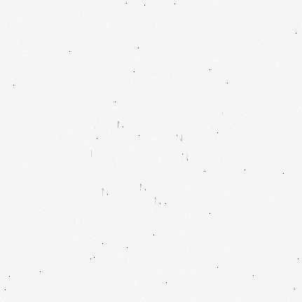 Cn1cc(-n2ccc(=O)c(Cc3cccc(N(CC(F)CN4CCOCC4)C(=O)O)c3)n2)cn1